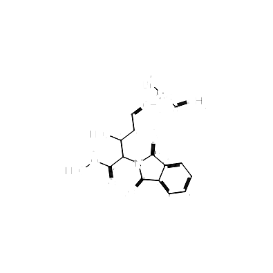 C=CCC(C)C(C(=O)OC)N1C(=O)c2ccccc2C1=O.C=[CH][Mg][Br]